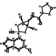 O=C(N[C@H]1[C@@H]2C[C@@](O)(c3cc(Cl)cc4[nH]ncc34)C[C@@H]21)C1CCOC1